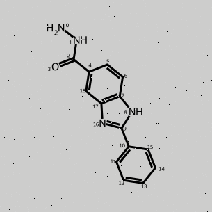 NNC(=O)c1ccc2[nH]c(-c3ccccc3)nc2c1